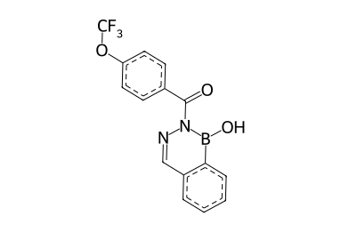 O=C(c1ccc(OC(F)(F)F)cc1)N1N=Cc2ccccc2B1O